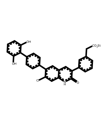 CCOC(=O)Cc1cccc(-c2cc3cc(-c4ccc(-c5c(O)cccc5O)cc4)c(Cl)cc3[nH]c2=O)c1